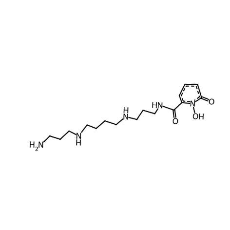 NCCCNCCCCNCCCNC(=O)c1cccc(=O)n1O